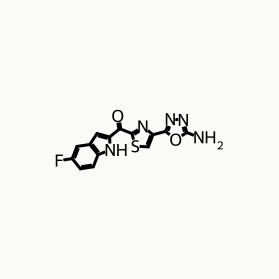 Nc1nnc(-c2csc(C(=O)c3cc4cc(F)ccc4[nH]3)n2)o1